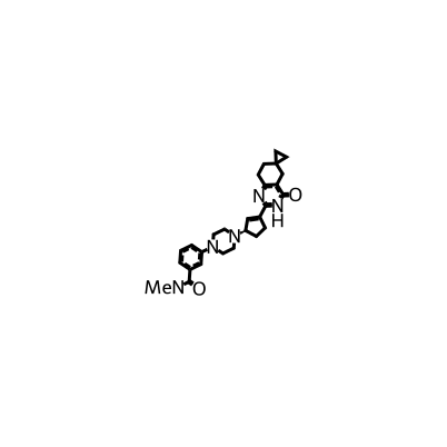 CNC(=O)c1cccc(N2CCN([C@H]3C=C(c4nc5c(c(=O)[nH]4)CC4(CC5)CC4)CC3)CC2)c1